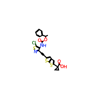 CC(OC(=O)Nc1c(C#Cc2cc3cc(C4(C(=O)O)CC4)sc3s2)nsc1Cl)c1ccccc1